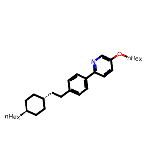 CCCCCCOc1ccc(-c2ccc(CC[C@H]3CC[C@H](CCCCCC)CC3)cc2)nc1